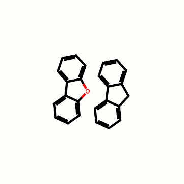 c1ccc2c(c1)Cc1ccccc1-2.c1ccc2c(c1)oc1ccccc12